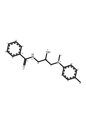 Cc1ccc(N(C)CC(O)CNC(=O)c2ccccc2)cc1